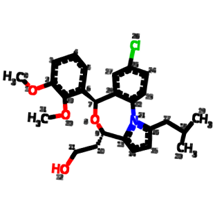 COc1cccc([C@@H]2O[C@@H](CCO)c3ccc(CC(C)C)n3-c3ccc(Cl)cc32)c1OC